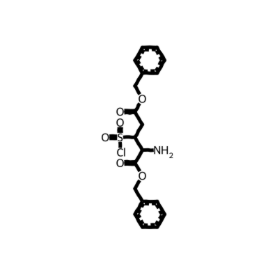 NC(C(=O)OCc1ccccc1)C(CC(=O)OCc1ccccc1)S(=O)(=O)Cl